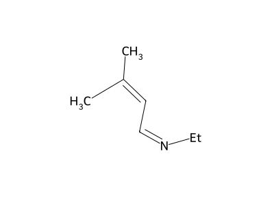 CC/N=C\C=C(C)C